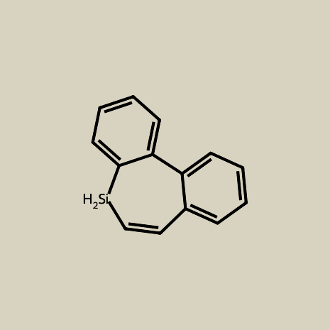 C1=Cc2ccccc2-c2ccccc2[SiH2]1